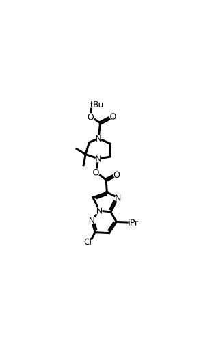 CC(C)c1cc(Cl)nn2cc(C(=O)ON3CCN(C(=O)OC(C)(C)C)CC3(C)C)nc12